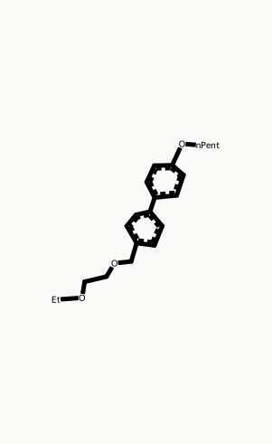 CCCCCOc1ccc(-c2ccc(COCCOCC)cc2)cc1